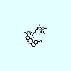 CCC[C@@H]([C@@H](C)C/C=C/[C@H](O)[C@@H]1CC[C@H]1CN1C[C@@]2(CCCc3cc(Cl)ccc32)COc2ccc(C(=O)O)cc21)S(N)(=O)=O